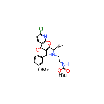 COc1cccc(Cc2c(C(NCCNC(=O)OC(C)(C)C)C(C)C)oc3nc(Cl)ccc3c2=O)c1